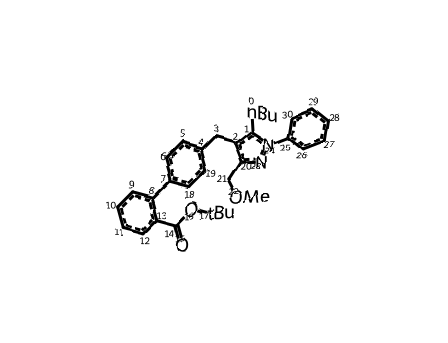 CCCCc1c(Cc2ccc(-c3ccccc3C(=O)OC(C)(C)C)cc2)c(COC)nn1-c1ccccc1